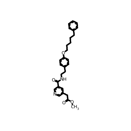 COC(=O)Cc1cncc(C(=O)NCCc2ccc(OCCCCCc3ccccc3)cc2)c1